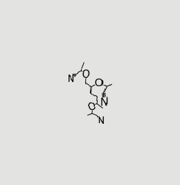 CC(C#N)OCC(CCC(C)OC(C)C#N)OC(C)C#N